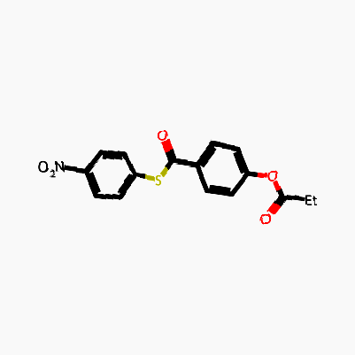 CCC(=O)Oc1ccc(C(=O)Sc2ccc([N+](=O)[O-])cc2)cc1